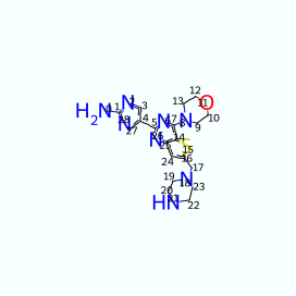 Nc1ncc(-c2nc(N3CCOCC3)c3sc(CN4CCNCC4)cc3n2)cn1